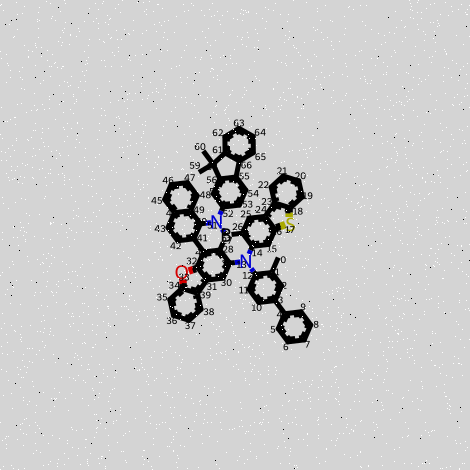 Cc1cc(-c2ccccc2)ccc1N1c2cc3sc4ccccc4c3cc2B2c3c1cc1c(oc4ccccc41)c3-c1ccc3ccccc3c1N2c1ccc2c(c1)C(C)(C)c1ccccc1-2